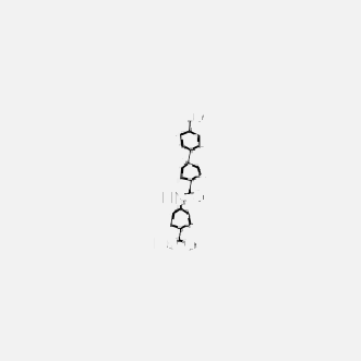 O=Cc1ccc(-c2ccc(C(=O)Nc3ccc(C(=O)O)cc3)cc2)cc1